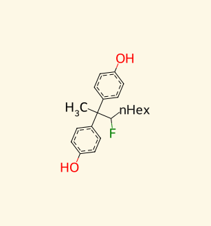 CCCCCCC(F)C(C)(c1ccc(O)cc1)c1ccc(O)cc1